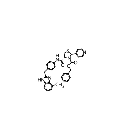 Cc1cccc2[nH]c(Cc3ccc(NC(=O)[C@@H]4CSC(c5ccncc5)N4C(=O)OCc4ccccc4)cc3)nc12